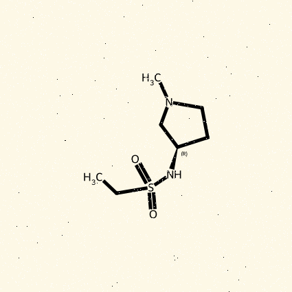 CCS(=O)(=O)N[C@@H]1CCN(C)C1